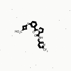 O=C(O)C1CC(Sc2cccc(C(=O)N3CCCC3C(=O)NCc3ccc(C(F)(F)F)nc3)c2)C1